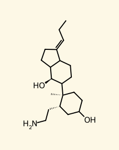 CCC=C1CCC2C1CCC([C@@]1(C)CCC(O)C[C@@H]1CCN)[C@H]2O